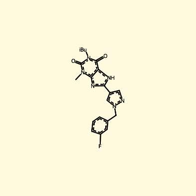 CCC(C)n1c(=O)c2[nH]c(-c3cnn(Cc4cccc(F)c4)c3)nc2n(C)c1=O